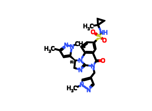 Cc1cc([C@@H]2CN=C3N(Cc4cnn(C)c4)C(=O)c4cc(S(=O)(=O)NC5(C)CC5)ccc4N32)n(C)n1